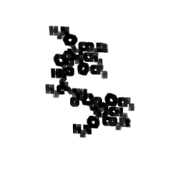 CCOC(=O)C1=C(C)N(c2cccc(C(F)(F)F)c2)C(=O)N(Cc2cccc(C(=O)NCCN(C)CCNC(=O)c3cccc(CN4C(=O)N(c5cccc(C(F)(F)F)c5)C(C)=C(C(=O)OCC)C4c4ccc(N)cc4)c3)c2)C1c1ccc(N)cc1